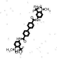 CN(C)c1ccc(NC(=O)c2ccc(-c3ccc(C(=O)Nc4ccc(N(C)C)c(C(F)(F)F)c4)cc3)cc2)cc1C(F)(F)F